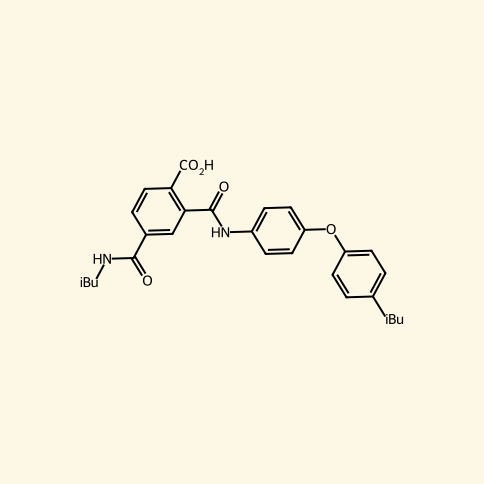 CCC(C)NC(=O)c1ccc(C(=O)O)c(C(=O)Nc2ccc(Oc3ccc(C(C)CC)cc3)cc2)c1